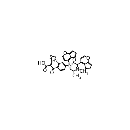 CC1C[N+](c2ccc3c(=O)c(C(=O)O)c4n(c3c2)CS4)(c2ccoc3cccc2-3)C(=O)C(c2ccoc3cccc2-3)N1C